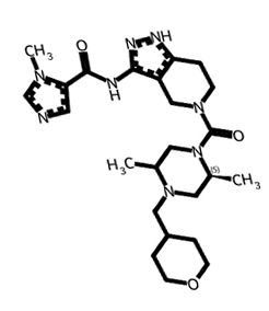 CC1CN(C(=O)N2CCc3[nH]nc(NC(=O)c4cncn4C)c3C2)[C@@H](C)CN1CC1CCOCC1